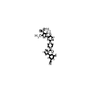 Cc1nn(-c2nc(N3CCN(C(=O)N4N=CCC4c4cc(F)cc(C#N)c4)CC3)ncc2F)c(C)c1[N+](=O)[O-]